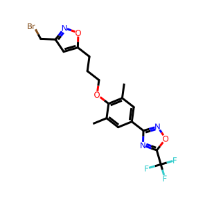 Cc1cc(-c2noc(C(F)(F)F)n2)cc(C)c1OCCCc1cc(CBr)no1